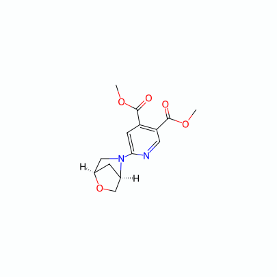 COC(=O)c1cnc(N2C[C@H]3C[C@@H]2CO3)cc1C(=O)OC